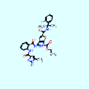 CCOC(=O)n1nc(NC(=O)c2ccccc2NC(=O)c2cc(C)[nH]n2)c2cc(C(=O)NC(C)(C)c3ccccc3F)sc21